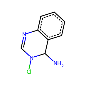 NC1c2ccccc2N=CN1Cl